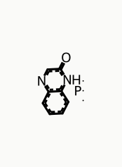 O=c1cnc2ccccc2[nH]1.[P]